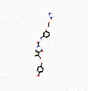 O=C(O)c1ccc(COCc2csc3nc(C(=O)NCc4cccc(OCCOc5nc[nH]n5)c4)[nH]c(=O)c23)cc1